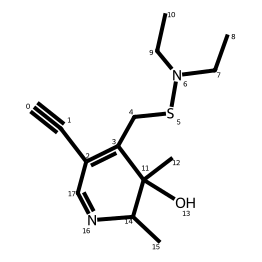 C#CC1=C(CSN(CC)CC)C(C)(O)C(C)N=C1